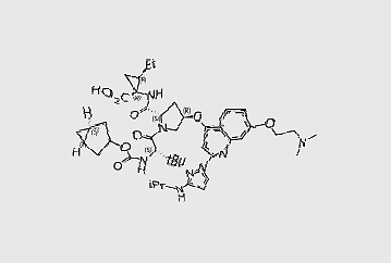 CC[C@@H]1C[C@]1(NC(=O)[C@@H]1C[C@@H](Oc2cc(-n3ccc(NC(C)C)n3)nc3cc(OCCN(C)C)ccc23)CN1C(=O)[C@@H](NC(=O)OC1C[C@@H]2C[C@@H]2C1)C(C)(C)C)C(=O)O